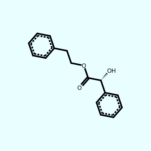 O=C(OCCc1ccccc1)[C@H](O)c1ccccc1